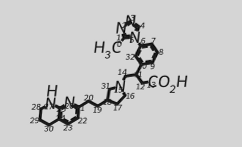 Cc1nncn1-c1cccc(C(CC(=O)O)CN2CCC(CCc3ccc4c(n3)NCCC4)C2)c1